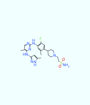 Cc1cc(Nc2nc(Nc3cc(C)c(C4CCN(CCS(N)(=O)=O)CC4)cc3F)ncc2C)n[nH]1